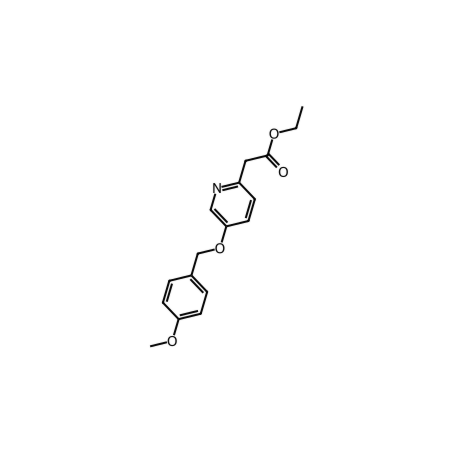 CCOC(=O)Cc1ccc(OCc2ccc(OC)cc2)cn1